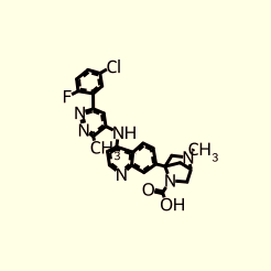 Cc1nnc(-c2cc(Cl)ccc2F)cc1Nc1ccnc2cc(C34CC(CN3C(=O)O)N(C)C4)ccc12